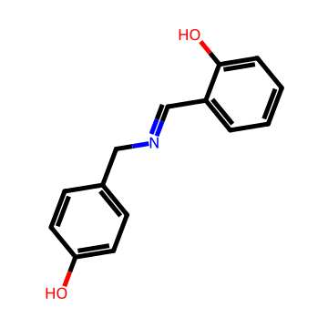 Oc1ccc(CN=Cc2ccccc2O)cc1